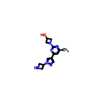 OC1CN(c2nc(-c3cnn(C4CNC4)c3)cc(C(F)(F)F)n2)C1